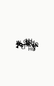 C=CC(=O)N1CC(C/[SH]=[N+]2/N=C(C#Cc3cc4nnc(C)c(C5CC5)c4cc3Cl)C(C(N)=O)=C2N)C[C@@H]1COC